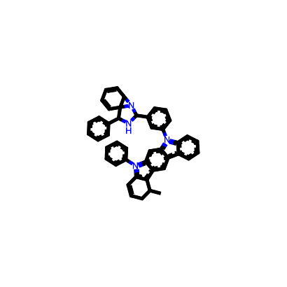 CC1CC=Cc2c1c1cc3c4ccccc4n(-c4cccc(C5NC(c6ccccc6)C67C=CC=CC6N57)c4)c3cc1n2-c1ccccc1